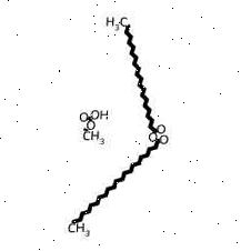 CCCCCCCCCCCCCCCCCCCCCC(=O)OC(=O)CCCCCCCCCCCCCCCCCCCCC.CCOC(=O)O